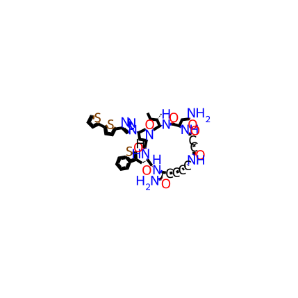 CC[C@H](C)[C@@H]1NC(=O)C(CC(N)=O)NC(=O)CCC(=O)NCCCC[C@@H](C(N)=O)NC(=O)[C@H](Cc2csc3ccccc23)NC(=O)[C@@H]2C[C@H](n3cc(-c4ccc(-c5cccs5)s4)nn3)CN2C1=O